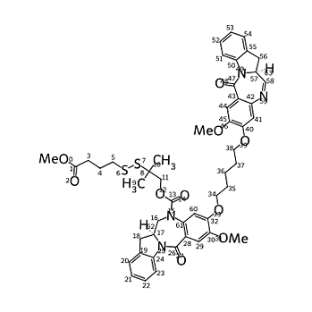 COC(=O)CCCSSC(C)(C)COC(=O)N1C[C@@H]2Cc3ccccc3N2C(=O)c2cc(OC)c(OCCCCCOc3cc4c(cc3OC)C(=O)N3c5ccccc5C[C@H]3C=N4)cc21